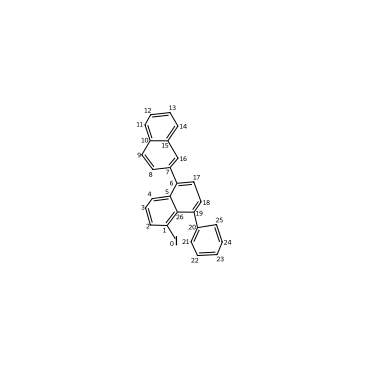 Ic1cccc2c(-c3ccc4ccccc4c3)ccc(-c3ccccc3)c12